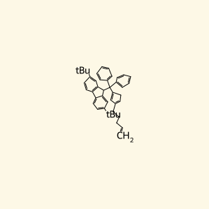 C=CCCCC1=CCC(C(c2ccccc2)(c2ccccc2)C2c3cc(C(C)(C)C)ccc3-c3ccc(C(C)(C)C)cc32)=C1